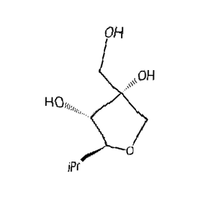 CC(C)[C@@H]1OC[C@](O)(CO)[C@H]1O